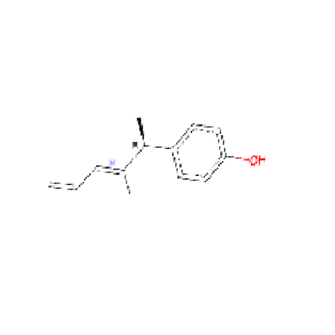 C=C/C=C(\C)[C@@H](C)c1ccc(O)cc1